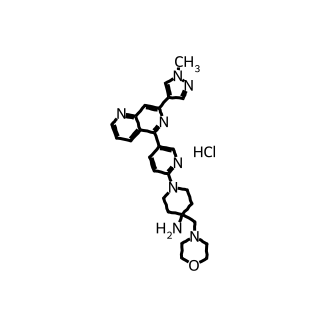 Cl.Cn1cc(-c2cc3ncccc3c(-c3ccc(N4CCC(N)(CN5CCOCC5)CC4)nc3)n2)cn1